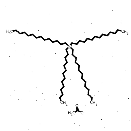 CC(=O)[O-].CCCCCCCCCCCCCC[N+](CCCCCCCCCCCCCC)(CCCCCCCCCCCCCC)CCCCCCCCCCCCCC